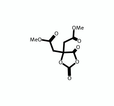 COC(=O)CC1(CC(=O)OC)OC(=O)OC1=O